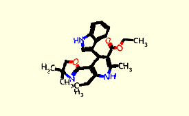 CCOC(=O)C1=C(C)NC(CC)=C(C2=NC(C)(C)CO2)C1c1c[nH]c2ccccc12